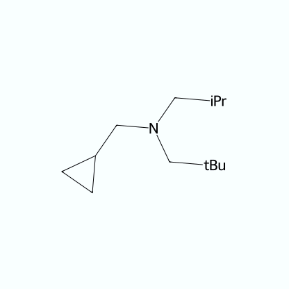 CC(C)CN(CC1CC1)CC(C)(C)C